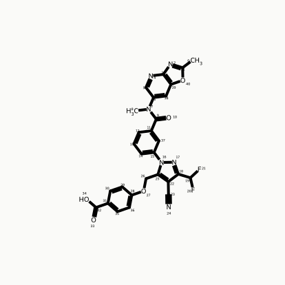 Cc1nc2ncc(N(C)C(=O)c3cccc(-n4nc(C(F)F)c(C#N)c4COc4ccc(C(=O)O)cc4)c3)cc2o1